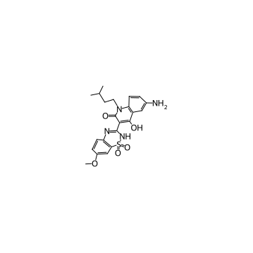 COc1ccc2c(c1)S(=O)(=O)NC(c1c(O)c3cc(N)ccc3n(CCC(C)C)c1=O)=N2